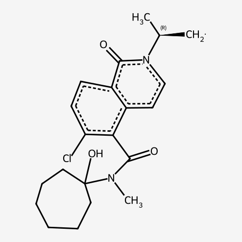 [CH2][C@H](C)n1ccc2c(C(=O)N(C)C3(O)CCCCCC3)c(Cl)ccc2c1=O